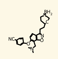 BN1CCC(CCc2noc3c(CN(C)C)c(Oc4ccc(C#N)cc4)ccc23)CC1